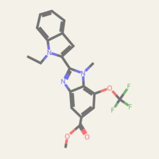 CCn1c(-c2nc3cc(C(=O)OC)cc(OC(F)(F)F)c3n2C)cc2ccccc21